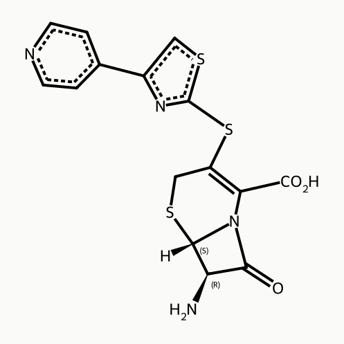 N[C@@H]1C(=O)N2C(C(=O)O)=C(Sc3nc(-c4ccncc4)cs3)CS[C@@H]12